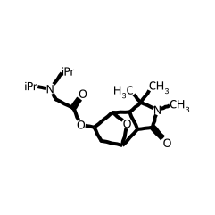 CC(C)N(CC(=O)OC1CC2OC1C1C2C(=O)N(C)C1(C)C)C(C)C